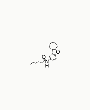 CCCCCC(=O)Nc1ccc2oc3c(c2c1)CCCCC3